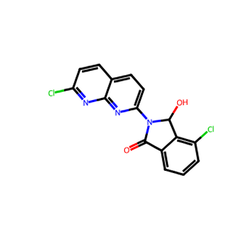 O=C1c2cccc(Cl)c2C(O)N1c1ccc2ccc(Cl)nc2n1